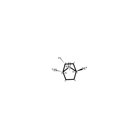 C[C@@H]1C[C@@H]2CC[C@@H]1N2